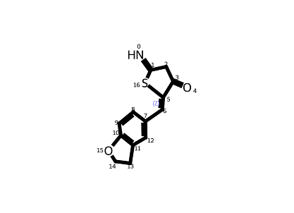 N=C1CC(=O)/C(=C/c2ccc3c(c2)CCO3)S1